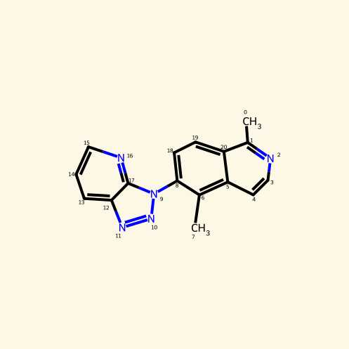 Cc1nccc2c(C)c(-n3nnc4cccnc43)ccc12